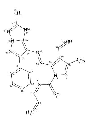 C=C/C=N\C(=N)n1nc(C)c(C=N)c1/N=N/c1c(-c2ccccc2)nn2nc(C)[nH]c12